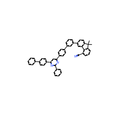 CC1(C)c2ccc(-c3cccc(-c4ccc(-c5cc(-c6ccc(-c7ccccc7)cc6)nc(-c6ccccc6)n5)cc4)c3)cc2-c2c(C#N)cccc21